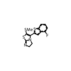 CSC1=C(c2cc3c(F)cccc3s2)N2CCN=C2S1